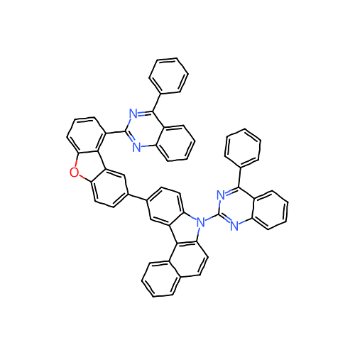 c1ccc(-c2nc(-c3cccc4oc5ccc(-c6ccc7c(c6)c6c8ccccc8ccc6n7-c6nc(-c7ccccc7)c7ccccc7n6)cc5c34)nc3ccccc23)cc1